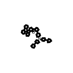 c1ccc(-c2ccc(N(c3ccc(-c4ccccc4)cc3)c3ccc(-c4cccc5c4oc4c6c(ccc45)C4(c5ccccc5-c5ccccc54)c4ccccc4-6)cc3)cc2)cc1